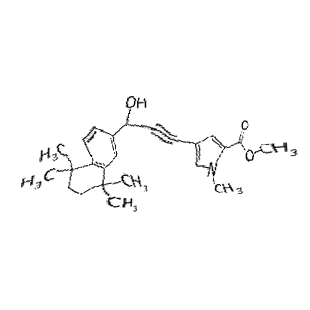 COC(=O)c1cc(C#CC(O)c2ccc3c(c2)C(C)(C)CCC3(C)C)cn1C